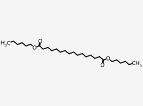 CCCCCCOC(=O)CCCCCCCCCCCCCCC(=O)OCCCCCC